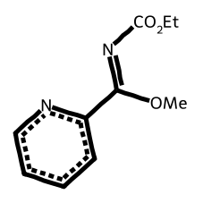 CCOC(=O)N=C(OC)c1ccccn1